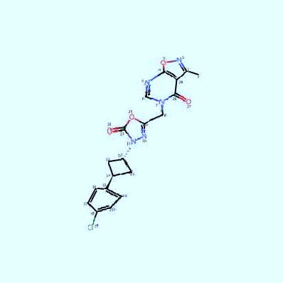 Cc1noc2ncn(Cc3nn([C@H]4C[C@H](c5ccc(Cl)cc5)C4)c(=O)o3)c(=O)c12